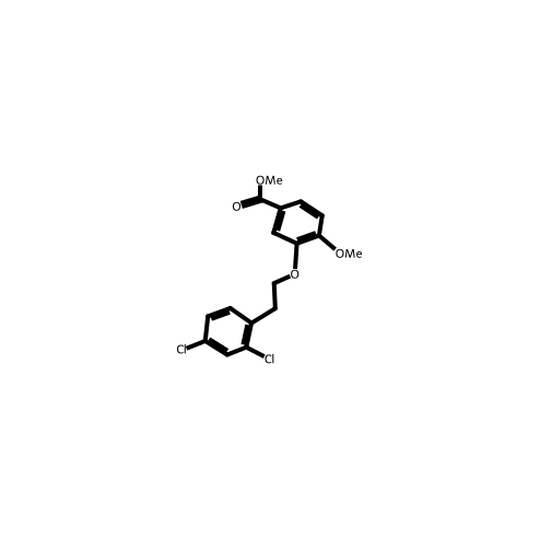 COC(=O)c1ccc(OC)c(OCCc2ccc(Cl)cc2Cl)c1